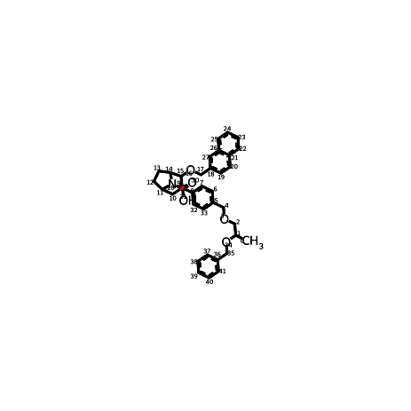 CC(COCc1ccc(C2CC3CCC(C2OCc2ccc4ccccc4c2)N3C(=O)O)cc1)OCc1ccccc1